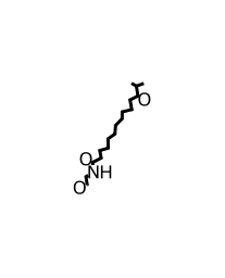 CC(C)C(=O)CCCCCCCCCCC(=O)NCC=O